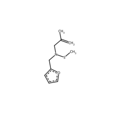 C=C(C)CN(Cc1ccco1)SC